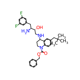 CC(C)(C)Cc1ccc2c(c1)C(NC[C@@H](O)[C@@H](N)Cc1cc(F)cc(F)c1)CCN2C(=O)OCc1ccccc1